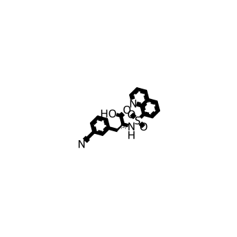 N#Cc1cccc(C[C@H](NS(=O)(=O)c2cccc3cccnc23)C(=O)O)c1